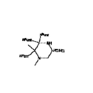 CCCCCC1(CCCCC)NCCN(C)C1(C)CCCCC.Cl.Cl